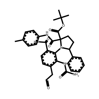 Cc1ccc(NC(=O)C2(C(=O)OC(C)(C)C)CCC(c3ccccc3)N2c2c(C(=O)O)ccc(CC=O)c2NC(N)=O)cc1